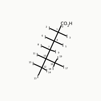 O=C(O)C(I)(I)C(I)(I)C(I)(I)C(I)(C(I)(I)I)C(I)(I)I